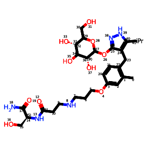 Cc1cc(OCCCNCCC(=O)N[C@@H](CO)C(N)=O)ccc1Cc1c(OC2OC(CO)[C@@H](O)C(O)[C@H]2O)n[nH]c1C(C)C